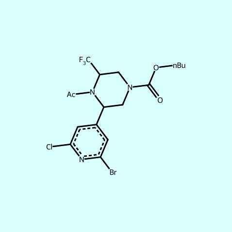 CCCCOC(=O)N1CC(c2cc(Cl)nc(Br)c2)N(C(C)=O)C(C(F)(F)F)C1